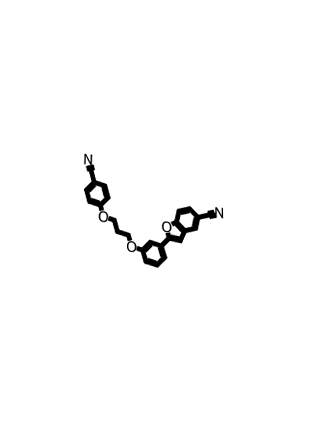 N#Cc1ccc(OCCCOc2cccc(-c3cc4cc(C#N)ccc4o3)c2)cc1